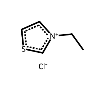 CC[n+]1ccsc1.[Cl-]